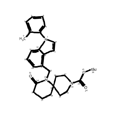 Cc1ccccc1-n1ccc2c(CN3C(=O)CCCC34CCN(C(=O)OC(C)(C)C)CC4)cccc21